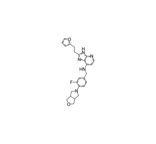 Fc1cc(CNc2ccnc3[nH]c(CCc4ccco4)nc23)ccc1N1CC2COCC2C1